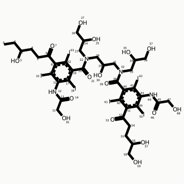 CCC(O)CCC(=O)c1c(I)c(NC(=O)CO)c(I)c(C(=O)N(CC(O)CO)CC(O)CN(CC(O)CO)C(=O)c2c(I)c(NC(=O)CO)c(I)c(C(=O)CCC(O)CO)c2I)c1I